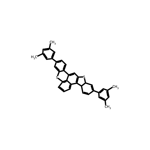 Cc1cc(C)cc(C2=CC3Sc4cc5c6c(cccc6c4C3C=C2)Sc2cc(-c3cc(C)cc(C)c3)ccc2-5)c1